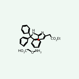 CCOC(=O)Cc1csc(NC(c2ccccc2)(c2ccccc2)c2ccccc2)n1.NOCC(=O)O